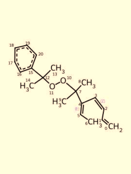 C=C/C=C\C(=C/C)C(C)(C)OOC(C)(C)c1ccccc1